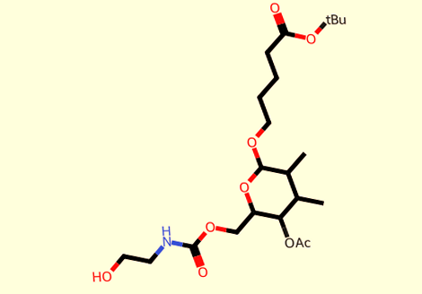 CC(=O)OC1C(COC(=O)NCCO)OC(OCCCCC(=O)OC(C)(C)C)C(C)C1C